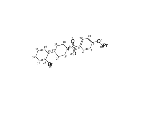 CC(C)Oc1ccc(S(=O)(=O)N2CCC(C3C=CCC=C3Br)CC2)cc1